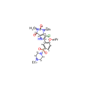 CCCOc1ccc(S(=O)(=O)N2CCN(CC)CC2)cc1-c1[nH]c2c(=O)n(C)c(=O)n(CCC)c2c1Cl